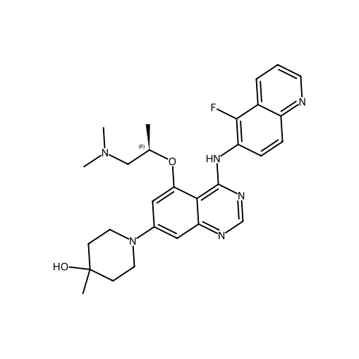 C[C@H](CN(C)C)Oc1cc(N2CCC(C)(O)CC2)cc2ncnc(Nc3ccc4ncccc4c3F)c12